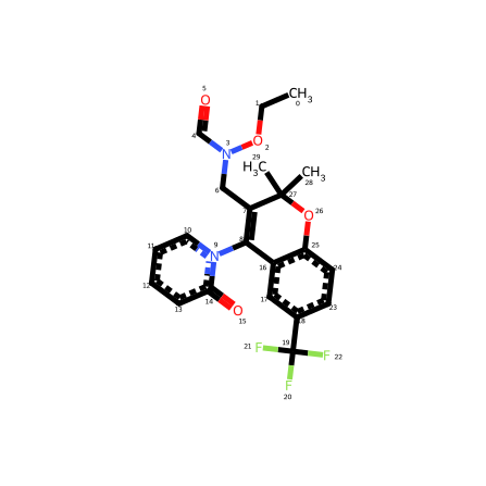 CCON(C=O)CC1=C(n2ccccc2=O)c2cc(C(F)(F)F)ccc2OC1(C)C